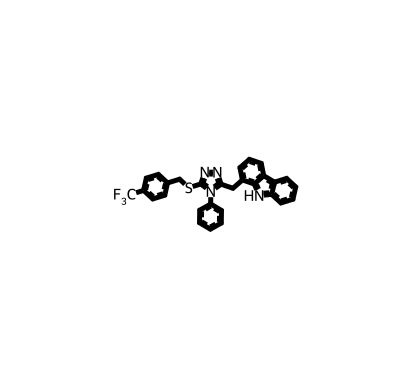 FC(F)(F)c1ccc(CSc2nnc(Cc3cccc4c3[nH]c3ccccc34)n2-c2ccccc2)cc1